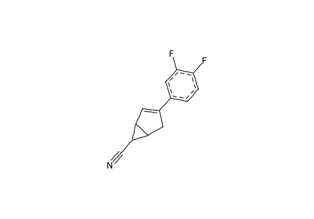 N#CC1C2C=C(c3ccc(F)c(F)c3)CC12